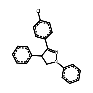 Clc1ccc(C2=NN(c3ccccc3)CC2c2ccccc2)cc1